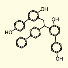 Oc1ccc(-c2ccc(O)c(CC(c3ccc(-c4ccccc4)cc3)c3cc(-c4ccc(O)cc4)ccc3O)c2)cc1